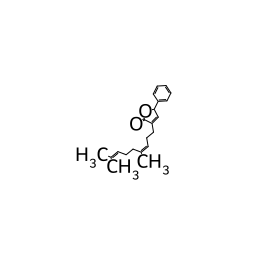 CC(C)=CCCC(C)=CCCC1=CC(c2ccccc2)OC1=O